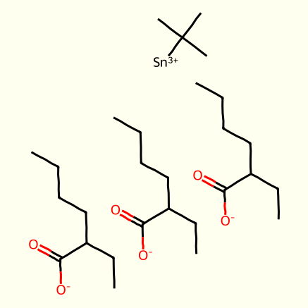 CCCCC(CC)C(=O)[O-].CCCCC(CC)C(=O)[O-].CCCCC(CC)C(=O)[O-].C[C](C)(C)[Sn+3]